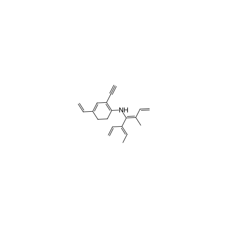 C#CC1=C(NC(=C(/C)C=C)/C(C=C)=C/C)CCC(C=C)=C1